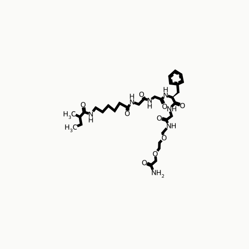 CCC(C)C(=O)NCCCCCC(=O)NCC(=O)NCC(=O)N[C@@H](Cc1ccccc1)C(=O)NCC(=O)NCOCCOCC(N)=O